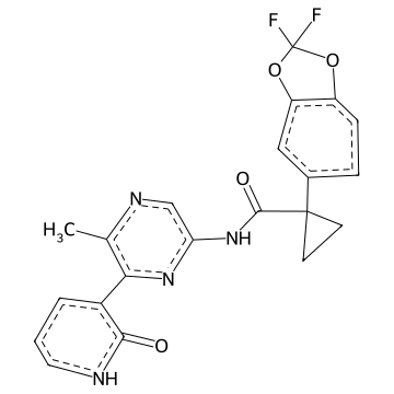 Cc1ncc(NC(=O)C2(c3ccc4c(c3)OC(F)(F)O4)CC2)nc1-c1ccc[nH]c1=O